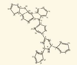 c1ccc(C2=NC(c3ccc(-n4c5ccccc5c5c6sc7ccccc7c6ccc54)nc3)=NC(c3ccccc3)N2)cc1